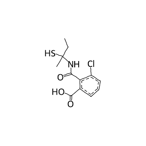 CCC(C)(S)NC(=O)c1c(Cl)cccc1C(=O)O